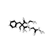 CCOC(=O)C(CI)(Cc1ccccc1)/C(C)=N/OCC(=O)OC